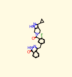 O=C(c1cc(Cc2n[nH]c(=O)c3ccccc23)ccc1F)N1CCc2c(C3CC3)n[nH]c2C1